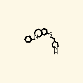 c1ccc(CN2CCCc3ccc(SCCC4CCNCC4)cc3C2)cc1